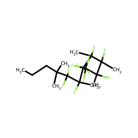 CCCC(C)(C)C(F)(F)C(C)(F)C(F)(F)C(C)(F)C(C)(F)C(C)(F)C(F)(F)F